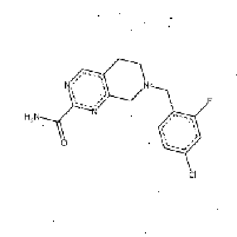 NC(=O)c1n[c]c2c(n1)CN(Cc1ccc(Cl)cc1F)CC2